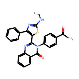 CNc1nc(-c2ccccc2)c(-c2nc3ccccc3c(=O)n2-c2ccc(C(C)=O)cc2)s1